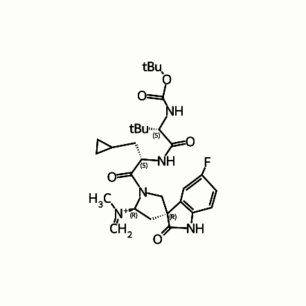 C=[N+](C)[C@@H]1C[C@@]2(CN1C(=O)[C@H](CC1CC1)NC(=O)[C@@H](NC(=O)OC(C)(C)C)C(C)(C)C)C(=O)Nc1ccc(F)cc12